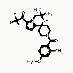 COc1ccc(C(=O)N2CCC3(CC2)NC(C)(C)Cn2c(C(=O)C(F)(F)F)ccc23)c(C)c1